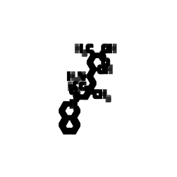 C[C@H](C[C@H](O)[C@@H](N)CC(C)(C)CC(=O)N1CCc2ccccc2C1)C(=O)O